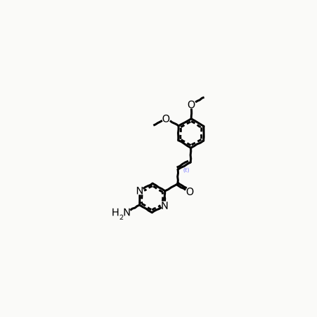 COc1ccc(/C=C/C(=O)c2cnc(N)cn2)cc1OC